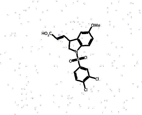 COc1ccc2c(c1)C(/C=C/C(=O)O)CN2S(=O)(=O)c1ccc(Cl)c(Cl)c1